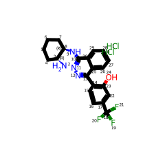 Cl.Cl.N[C@@H]1CCCC[C@H]1Nc1nnc(-c2ccc(C(F)(F)F)cc2O)c2ccccc12